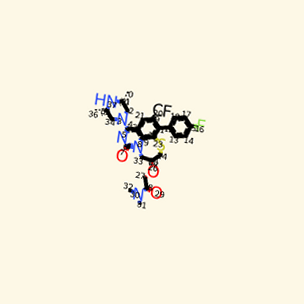 C[C@@H]1CN(c2nc(=O)n3c4c(c(-c5ccc(F)cc5)c(C(F)(F)F)cc24)SC[C@@H](OCC(=O)N(C)C)C3)C[C@H](C)N1